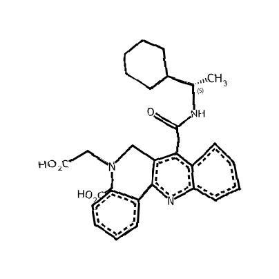 C[C@H](NC(=O)c1c(CN(CC(=O)O)CC(=O)O)c(-c2ccccc2)nc2ccccc12)C1CCCCC1